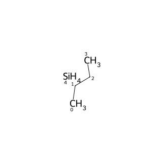 CCCC.[SiH4]